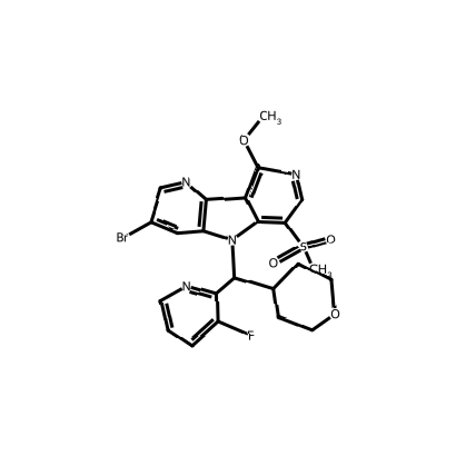 COc1ncc(S(C)(=O)=O)c2c1c1ncc(Br)cc1n2C(c1ncccc1F)C1CCOCC1